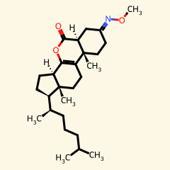 CON=C1CC[C@]2(C)C3=C(OC(=O)[C@H]2C1)[C@@H]1CC[C@H]([C@H](C)CCCC(C)C)[C@@]1(C)CC3